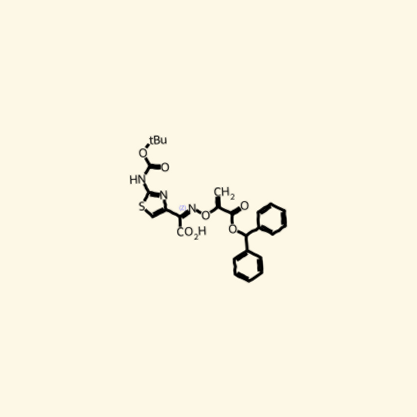 C=C(O/N=C(\C(=O)O)c1csc(NC(=O)OC(C)(C)C)n1)C(=O)OC(c1ccccc1)c1ccccc1